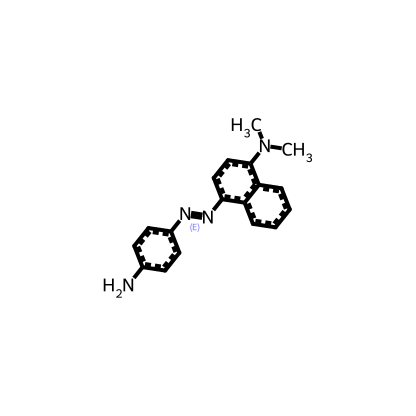 CN(C)c1ccc(/N=N/c2ccc(N)cc2)c2ccccc12